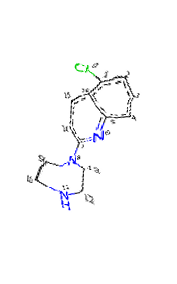 Clc1cccc2nc(N3CCNCC3)ccc12